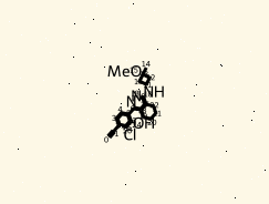 C#Cc1ccc(-c2nnc(NC3CC(C)(OC)C3)c3c2CCCC3)c(O)c1Cl